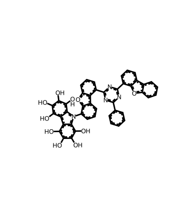 Oc1c(O)c(O)c2c(c1O)c1c(O)c(O)c(O)c(O)c1n2-c1cccc2c1oc1cccc(-c3nc(-c4ccccc4)nc(-c4cccc5c4oc4ccccc45)n3)c12